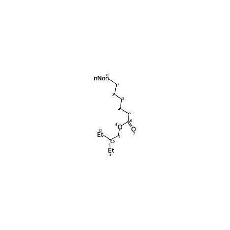 CCCCCCCCCCCCCCC(=O)OCC(CC)CC